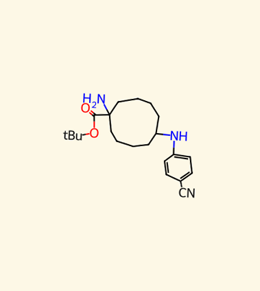 CC(C)(C)OC(=O)C1(N)CCCCC(Nc2ccc(C#N)cc2)CCCC1